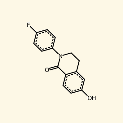 O=C1c2ccc(O)cc2CCN1c1ccc(F)cc1